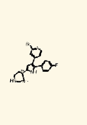 C[C@@H]1CNCC[C@H]1c1cc(-c2ccnc(Br)c2)c(-c2ccc(F)cc2)[nH]1